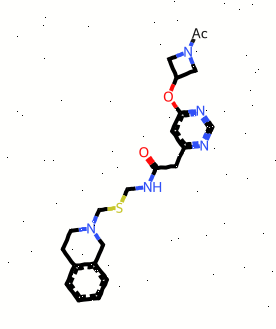 CC(=O)N1CC(Oc2cc(CC(=O)NCSCN3CCc4ccccc4C3)ncn2)C1